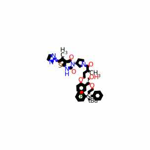 Cc1c(-n2nccn2)sc2[nH]c(=O)n([C@@H]3CCN(C(=O)C(C)CCOc4ccc(F)cc4[C@H](CO)OCC[Si](c4ccccc4)(c4ccccc4)C(C)(C)C)C3)c(=O)c12